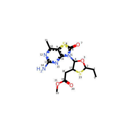 CCC1OC(n2c(=O)sc3c(C)nc(N)nc32)C(CC(=O)OC)S1